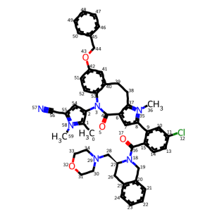 Cc1c(N2C(=O)c3cc(-c4cc(Cl)ccc4C(=O)N4Cc5ccccc5C[C@H]4CN4CCOCC4)n(C)c3CCc3cc(OCc4ccccc4)ccc32)cc(C#N)n1C